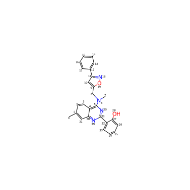 Cc1ccc2c(N(C)Cc3cc(-c4ccccc4)no3)nc(-c3ccccc3O)nc2c1